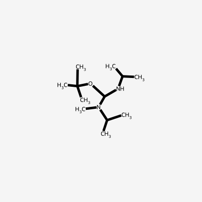 CC(C)NC(OC(C)(C)C)N(C)C(C)C